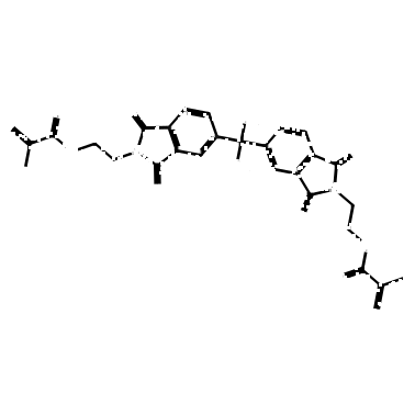 C=C(C)C(=O)OCCN1C(=O)c2ccc(C(c3ccc4c(c3)C(=O)N(CCOC(=O)C(=C)C)C4=O)(C(F)(F)F)C(F)(F)F)cc2C1=O